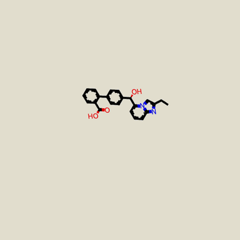 CCc1cn2c([C@H](O)c3ccc(-c4ccccc4C(=O)O)cc3)cccc2n1